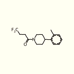 Cc1ccccc1C1CCN(C(=O)CCC(F)(F)F)CC1